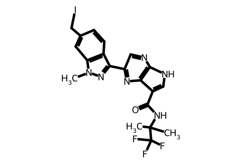 Cn1nc(-c2cnc3[nH]cc(C(=O)NC(C)(C)C(F)(F)F)c3n2)c2ccc(CI)cc21